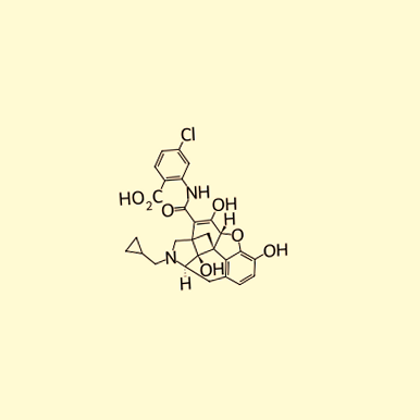 O=C(Nc1cc(Cl)ccc1C(=O)O)C1=C(O)[C@@H]2Oc3c(O)ccc4c3[C@@]23CC12CN(CC1CC1)[C@H](C4)[C@]23O